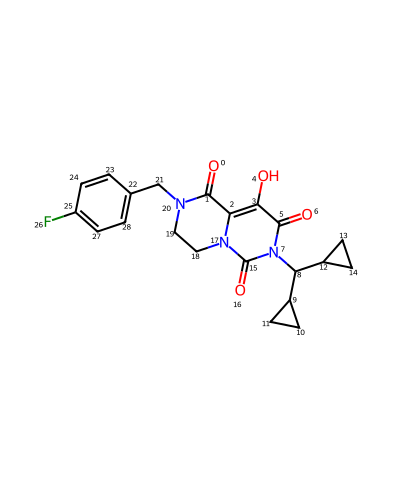 O=C1c2c(O)c(=O)n(C(C3CC3)C3CC3)c(=O)n2CCN1Cc1ccc(F)cc1